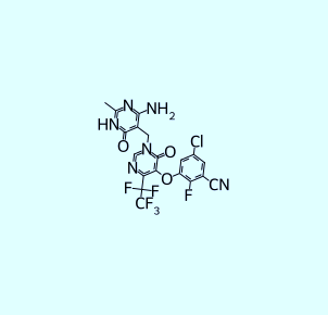 Cc1nc(N)c(Cn2cnc(C(F)(F)C(F)(F)F)c(Oc3cc(Cl)cc(C#N)c3F)c2=O)c(=O)[nH]1